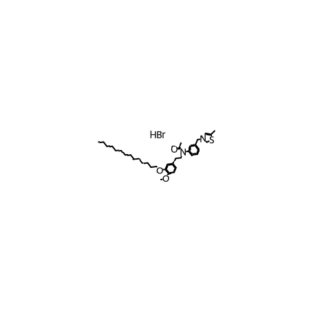 Br.CCCCCCCCCCCCCCOc1cc(CCN(C(C)=O)c2cccc(CN3C=C(C)SC3)c2)ccc1OC